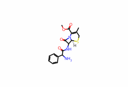 COC(=O)C1=C(C)CS[C@H]2C(NC(=O)C(N)c3ccccc3)C(=O)N12